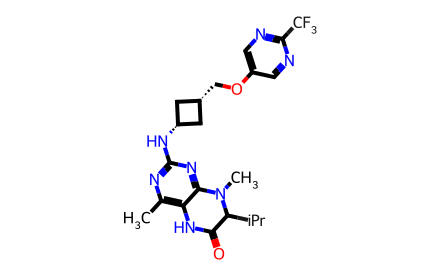 Cc1nc(N[C@H]2C[C@@H](COc3cnc(C(F)(F)F)nc3)C2)nc2c1NC(=O)C(C(C)C)N2C